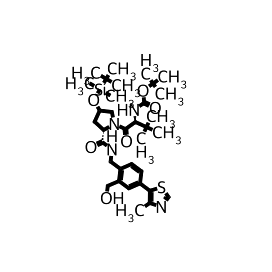 Cc1ncsc1-c1ccc(CNC(=O)[C@@H]2CC(O[Si](C)(C)C(C)(C)C)CN2C(=O)[C@@H](NC(=O)OC(C)(C)C)C(C)(C)C)c(CO)c1